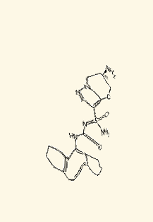 N[C@H]1COc2c(S(N)(=O)=NC(=O)Nc3c4c(cc5c3CCC5)CCC4)cnn2C1